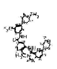 Cc1ccc(C(=O)Nc2cc(N3CCN(C)CC3)cc(C(F)(F)F)c2)cc1Nc1ncnc2ccc(N3CCOCC3)nc12